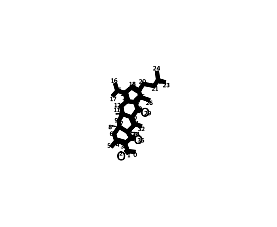 CC(=O)C1=C(C)C[C@@]2(C)C[C@@]3(C)Cc4c(C(C)C)cc(CCC(C)C)c(C)c4C(=O)C3=C(C)[C@@]2(C)C1=O